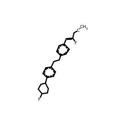 CCCC(F)=Cc1ccc(CCc2ccc(C3CCC(F)CC3)cc2)cc1